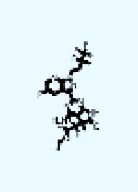 CCOC(=O)C(F)(F)C1(C)C(=O)Nc2nc(-c3nn(CCC(F)(F)C(F)(F)F)c4ncc(F)cc34)nc(N)c21